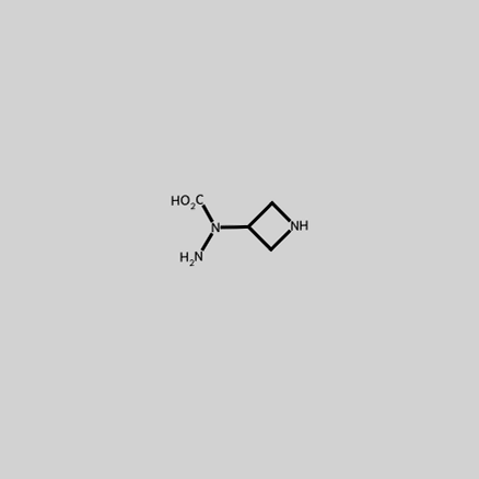 NN(C(=O)O)C1CNC1